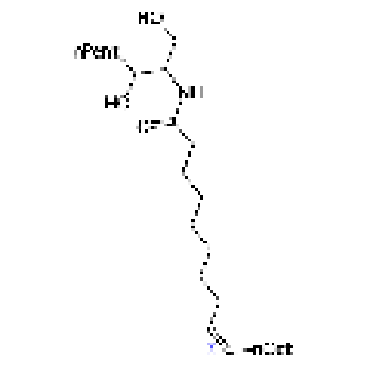 CCCCCCCC/C=C\CCCCCCCC(=O)NC(CO)C(O)CCCCC